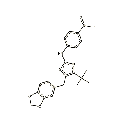 CC(C)(C)c1nc(Nc2ccc([N+](=O)[O-])cc2)sc1Cc1ccc2c(c1)OCO2